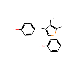 Cc1c[pH][c]([Ti+2])c1C.[O-]c1ccccc1.[O-]c1ccccc1